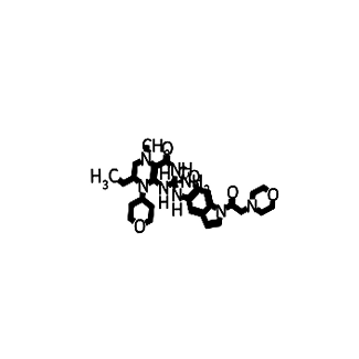 CCC1CN(C)C2=C(N[C@@](N)(Nc3cc4ccn(C(=O)CN5CCOCC5)c4cc3OC)NC2=O)N1C1CCOCC1